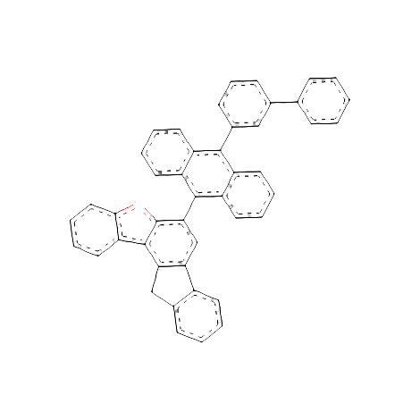 c1ccc(-c2cccc(-c3c4ccccc4c(-c4cc5c(c6c4oc4ccccc46)Cc4ccccc4-5)c4ccccc34)c2)cc1